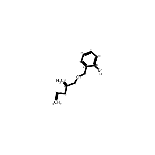 C=CCC(=C)COCc1ccccc1Br